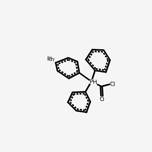 O=C(Cl)[PH](c1ccccc1)(c1ccccc1)c1ccccc1.[Rh]